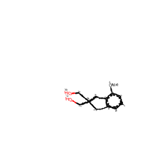 COc1cccc2c1CC(CO)(CO)C2